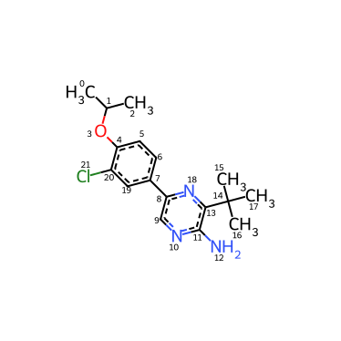 CC(C)Oc1ccc(-c2cnc(N)c(C(C)(C)C)n2)cc1Cl